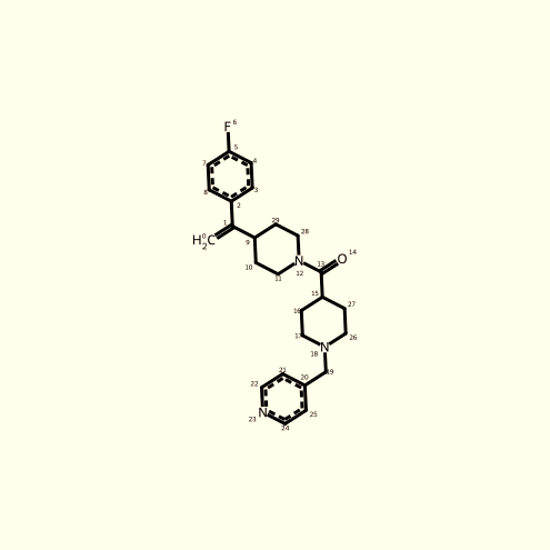 C=C(c1ccc(F)cc1)C1CCN(C(=O)C2CCN(Cc3ccncc3)CC2)CC1